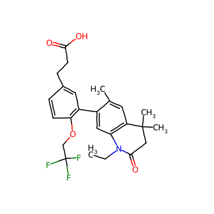 CCN1C(=O)CC(C)(C)c2cc(C)c(-c3cc(CCC(=O)O)ccc3OCC(F)(F)F)cc21